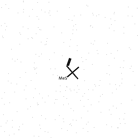 C=CC(C)(C)SC